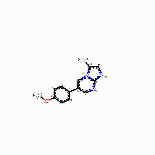 FC(F)(F)Oc1ccc(-c2cnc3ncc(C(F)(F)F)n3c2)cc1